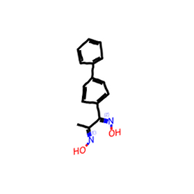 CC(=N\O)/C(=N\O)c1ccc(-c2ccccc2)cc1